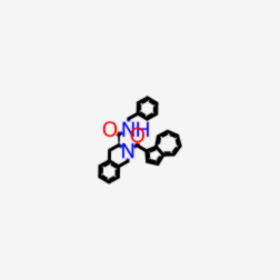 O=C(NCc1ccccc1)[C@@H]1Cc2ccccc2CN1C(=O)c1ccc2cccccc1-2